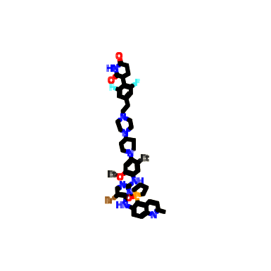 CCOc1cc(N2CCC(N3CCN(CCc4cc(F)c(C5CCC(=O)NC5=O)c(F)c4)CC3)CC2)c(CC)cc1Nc1ncc(Br)c(Nc2ccc3nc(C)ccc3c2P2(=O)CCCC2)n1